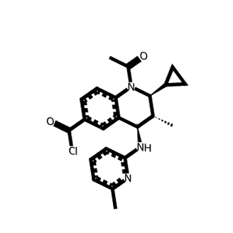 CC(=O)N1c2ccc(C(=O)Cl)cc2[C@H](Nc2cccc(C)n2)[C@@H](C)[C@@H]1C1CC1